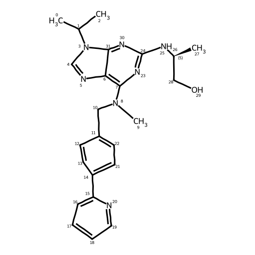 CC(C)n1cnc2c(N(C)Cc3ccc(-c4ccccn4)cc3)nc(N[C@@H](C)CO)nc21